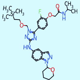 CC(C)NC(=O)COc1ccc(-c2nc(Nc3ccc4c(cnn4C4CCCCO4)c3)nn2COCC[Si](C)(C)C)cc1F